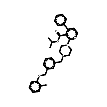 CC(C)OC(=O)c1c(-c2ccccc2)ccnc1N1CCN(Cc2cccc(COc3ccccc3Cl)c2)CC1